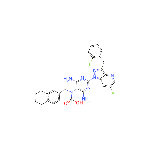 Nc1nc(-n2nc(Cc3ccccc3F)c3ncc(F)cc32)nc(N)c1N(Cc1ccc2c(c1)CCCC2)C(=O)O